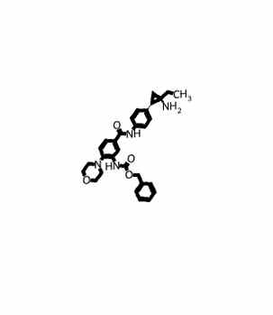 CC[C@@]1(N)C[C@H]1c1ccc(NC(=O)c2ccc(N3CCOCC3)c(NC(=O)OCc3ccccc3)c2)cc1